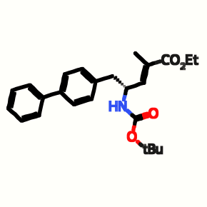 CCOC(=O)/C(C)=C/[C@@H](Cc1ccc(-c2ccccc2)cc1)NC(=O)OC(C)(C)C